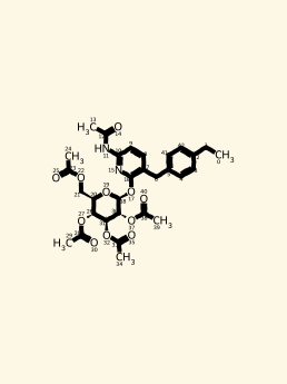 CCc1ccc(Cc2ccc(NC(C)=O)nc2O[C@@H]2O[C@H](COC(C)=O)[C@@H](OC(C)=O)[C@H](OC(C)=O)[C@H]2OC(C)=O)cc1